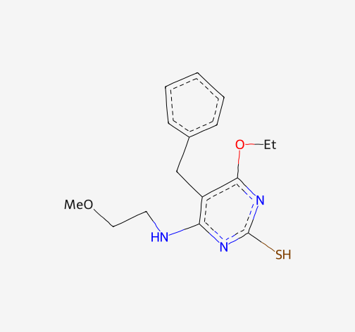 CCOc1nc(S)nc(NCCOC)c1Cc1ccccc1